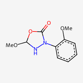 COc1ccccc1N1NC(OC)OC1=O